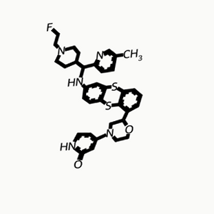 Cc1ccc(C(Nc2ccc3c(c2)Sc2cccc(C4CN(c5cc[nH]c(=O)c5)CCO4)c2S3)C2CCN(CCF)CC2)nc1